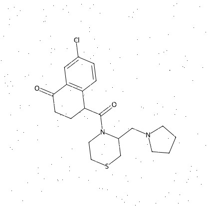 O=C1CCC(C(=O)N2CCSCC2CN2CCCC2)c2ccc(Cl)cc21